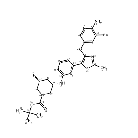 Cc1nc(Oc2cnc(N)c(F)c2)c(-c2ccnc(N[C@H]3C[C@H](F)CN(C(=O)OC(C)(C)C)C3)n2)s1